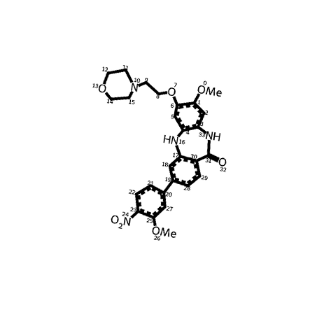 COc1cc2c(cc1OCCN1CCOCC1)Nc1cc(-c3ccc([N+](=O)[O-])c(OC)c3)ccc1C(=O)N2